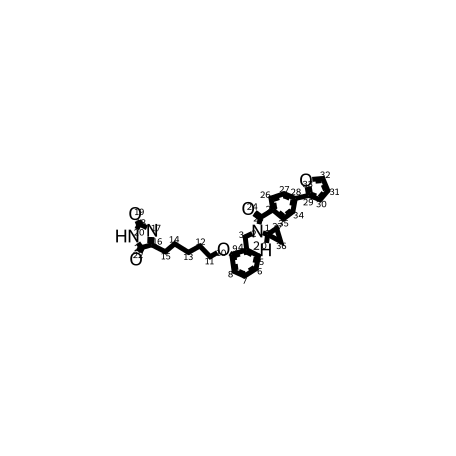 [2H]C1(N(Cc2ccccc2OCCCCCC2=NC(=O)NC2=O)C(=O)c2ccc(-c3ccco3)cc2)CC1